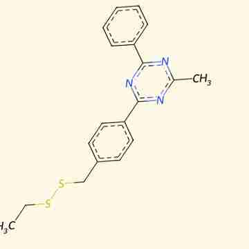 CCSSCc1ccc(-c2nc(C)nc(-c3ccccc3)n2)cc1